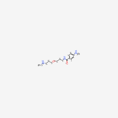 CCNc1ccc(C(=O)NCCCOCCCNC(C)C)cc1